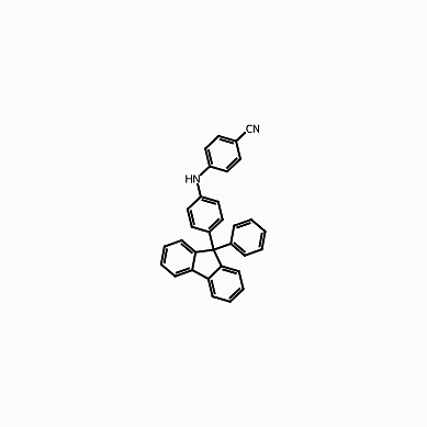 N#Cc1ccc(Nc2ccc(C3(c4ccccc4)c4ccccc4-c4ccccc43)cc2)cc1